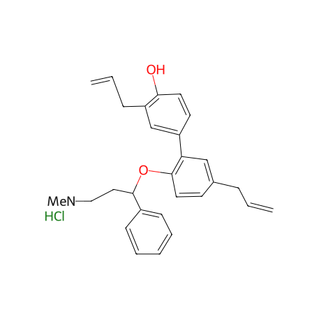 C=CCc1ccc(OC(CCNC)c2ccccc2)c(-c2ccc(O)c(CC=C)c2)c1.Cl